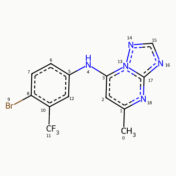 Cc1cc(Nc2ccc(Br)c(C(F)(F)F)c2)n2ncnc2n1